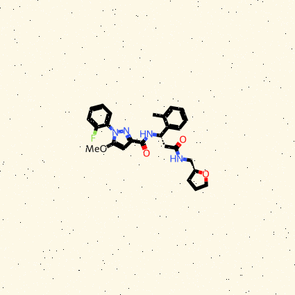 COc1cc(C(=O)N[C@@H](CC(=O)NC[C@@H]2CCCO2)c2ccccc2C)nn1-c1ccccc1F